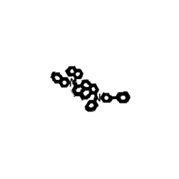 c1ccc(-c2ccc(N(c3ccccc3)c3ccc4ccc5c(N(c6ccc7ccccc7c6)c6cccc7ccccc67)ccc6ccc3c4c65)cc2)cc1